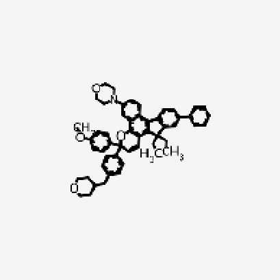 CCC1(CC)c2cc(-c3ccccc3)ccc2-c2c1c1c(c3cc(N4CCOCC4)ccc23)OC(c2ccc(CC3CCOCC3)cc2)(c2ccc(OC)cc2)C=C1